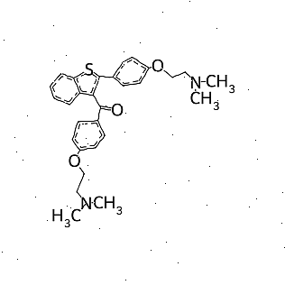 CN(C)CCOc1ccc(C(=O)c2c(-c3ccc(OCCN(C)C)cc3)sc3ccccc23)cc1